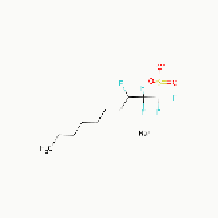 CCCCCCCC(F)C(F)(F)C(F)(F)S(=O)(=O)[O-].[Na+]